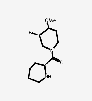 CO[C@H]1CCN(C(=O)[C@@H]2CCCCN2)C[C@H]1F